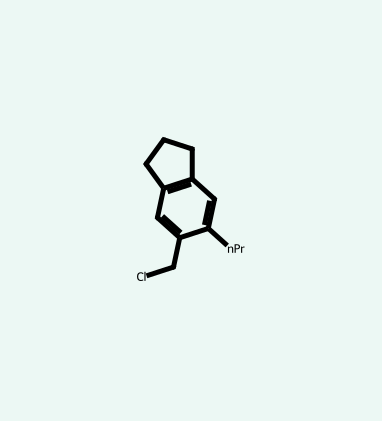 CCCc1cc2c(cc1CCl)CCC2